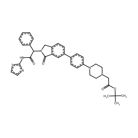 CC(C)(C)OC(=O)CN1CCN(c2ccc(-c3ccc4c(c3)C(=O)N(C(C(=O)Nc3nccs3)c3ccccc3)C4)cc2)CC1